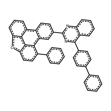 c1ccc(-c2ccc(-c3nc(-c4ccc5c(c4)c4c(-c6ccccc6)ccc6oc7cccc5c7c64)nc4ccccc34)cc2)cc1